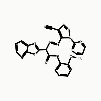 COc1ccccc1NC(=O)C(N=Nc1c(C#N)cnn1-c1ncccn1)c1nc2ccccc2s1